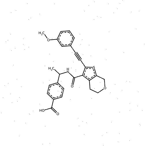 COc1cccc(C#Cc2sc3c(c2C(=O)NC(C)c2ccc(C(=O)O)cc2)CCOC3)c1